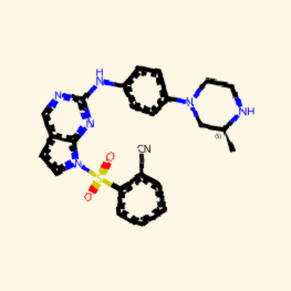 C[C@H]1CN(c2ccc(Nc3ncc4ccn(S(=O)(=O)c5ccccc5C#N)c4n3)cc2)CCN1